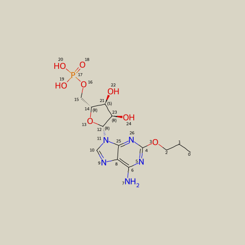 CCCOc1nc(N)c2ncn([C@@H]3O[C@H](COP(=O)(O)O)[C@@H](O)[C@H]3O)c2n1